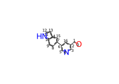 O=Cc1cncc(-c2ccc3[nH]ccc3c2)c1